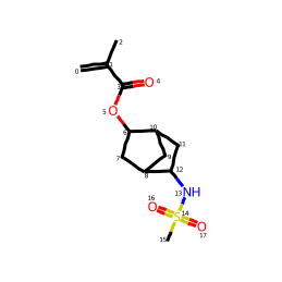 C=C(C)C(=O)OC1CC2CC1CC2NS(C)(=O)=O